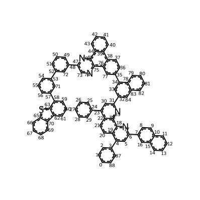 c1ccc(-c2cc(-c3ccc4ccccc4c3)nc3c2ccc2c(-c4ccccc4)cc(-c4cc(-c5ccc6c7ccccc7c7nc(-c8cccc(-c9cccc(-c%10cccc%11c%10sc%10ccccc%10%11)c9)c8)cnc7c6c5)c5ccccc5c4)nc23)cc1